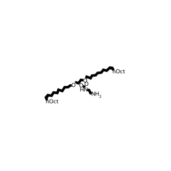 CCCCCCCC/C=C\CCCCCCCCOCC(COCCCCCCCC/C=C\CCCCCCCC)OC(=O)NCCN